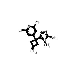 C=C1CC(c2cc(Cl)nc(Cl)c2)(c2nnc(S)n2C)C1